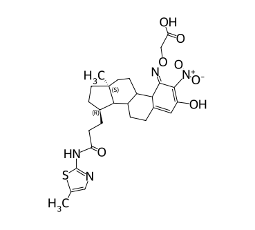 Cc1cnc(NC(=O)CC[C@H]2CC[C@@]3(C)CCC4C5C(=CC(O)=C([N+](=O)[O-])C5=NOCC(=O)O)CCC4C23)s1